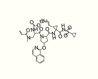 C=CC(=O)N(C)CC(NC(=O)OC(C)(C)C)C(=O)N1CC(Oc2nccc3ccccc23)CC1C(=O)NC1(C(=O)NS(=O)(=O)C2CC2)CC1C=C